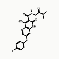 CN(C)C(=O)CN(C)C(=O)c1c(O)c2ncc(Cc3ccc(F)cc3)cc2[nH]c1=O